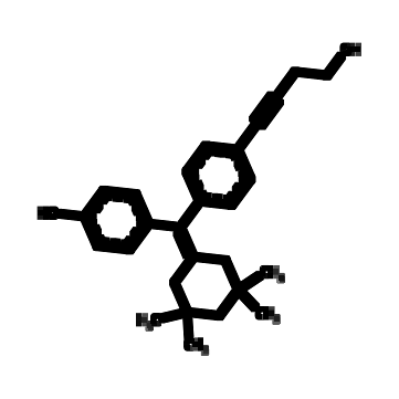 CC1(C)CC(=C(c2ccc(O)cc2)c2ccc(C#CCCO)cc2)CC(C)(C)C1